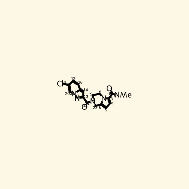 CNC(=O)c1ccc2n1CCN(C(=O)c1cc3ccc(Cl)cn3n1)C2